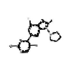 Cc1nc2c(F)cc(-c3nc(Cl)ncc3F)cc2n1N1CCCC1